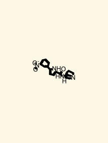 O=C(N[C@H]1CN2CCC1CC2)c1ccc(-c2cccc([N+](=O)[O-])c2)[nH]1